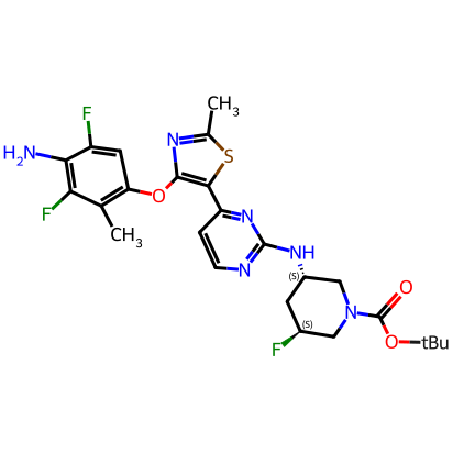 Cc1nc(Oc2cc(F)c(N)c(F)c2C)c(-c2ccnc(N[C@H]3C[C@H](F)CN(C(=O)OC(C)(C)C)C3)n2)s1